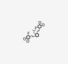 COc1cc(F)c(/C=C/c2cccc(/C=C/c3cc(OC)c(OC)cc3F)c2CC(C)C)cc1OC